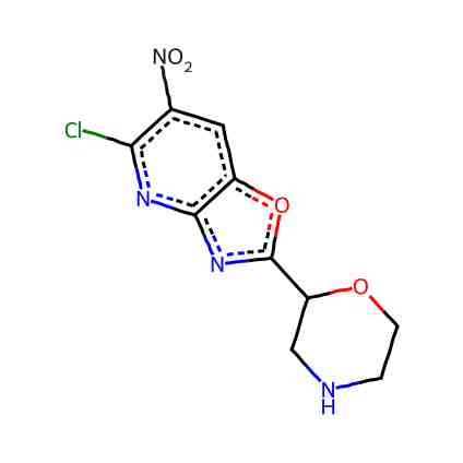 O=[N+]([O-])c1cc2oc(C3CNCCO3)nc2nc1Cl